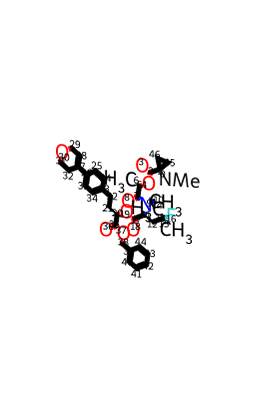 CNC1(C(=O)O[C@H](C)C(=O)N(C)[C@@H](CC(C)(C)F)C(=O)O[C@H](CCc2ccc(C3=CCOCC3)cc2)C(=O)OCc2ccccc2)CC1